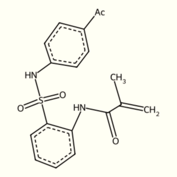 C=C(C)C(=O)Nc1ccccc1S(=O)(=O)Nc1ccc(C(C)=O)cc1